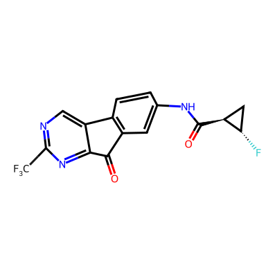 O=C1c2cc(NC(=O)[C@H]3C[C@@H]3F)ccc2-c2cnc(C(F)(F)F)nc21